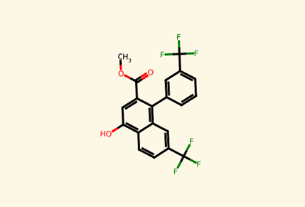 COC(=O)c1cc(O)c2ccc(C(F)(F)F)cc2c1-c1cccc(C(F)(F)F)c1